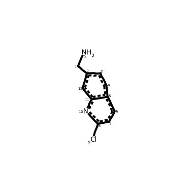 NCc1ccc2ccc(Cl)nc2c1